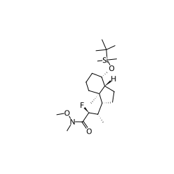 CON(C)C(=O)[C@@H](F)[C@@H](C)[C@H]1CC[C@H]2[C@@H](O[Si](C)(C)C(C)(C)C)CCC[C@]12C